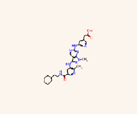 Cc1ncc(C(=O)NCCC2CCCCC2)cc1Nc1nn(C)c2nc(Nc3cncc(CC(=O)O)c3)ncc12